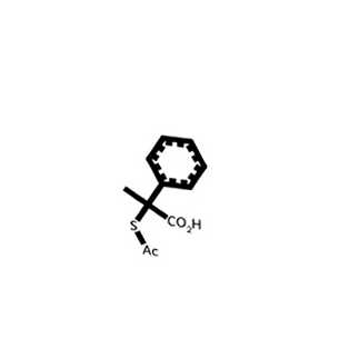 CC(=O)SC(C)(C(=O)O)c1ccccc1